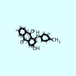 Cc1ccc(Nc2cc(O)cc3c2C(=O)c2ccccc2C3=O)cc1